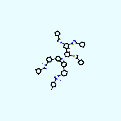 Cc1ccc(-c2cnc(-c3cccc(-c4ccc5c(c4)c4cc(-c6cccc(-c7ncc(-c8ccccc8)n7C)c6)ccc4n5-c4cc(-c5ncc(-c6ccccc6)s5)c5oc6c(-c7ncc(-c8ccccc8)s7)cc(-c7ncc(-c8ccccc8)s7)cc6c5c4)c3)n2C)cc1